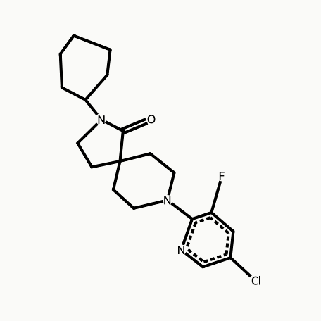 O=C1N(C2CCCCC2)CCC12CCN(c1ncc(Cl)cc1F)CC2